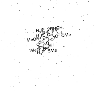 COCC1OC(OCOC2C(O)C(COC)OC(OC)C2N(C)C(=N)SC)C(OC(=S)N(C)C)C(O)C1O